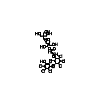 C=CC(=O)O.Cl[C@H]1[C@H](Cl)[C@@H](Cl)[C@@H](Cl)[C@H](Cl)[C@H]1Cl.OCC(CO)(CO)COCC(CO)(CO)CO.Oc1c(Cl)c(Cl)c(Cl)c(Cl)c1Cl